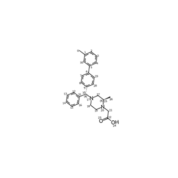 Cc1cccc(-c2ccc([C@@H](c3ccccc3)N3CCN(CC(=O)O)[C@H](C)C3)cc2)c1